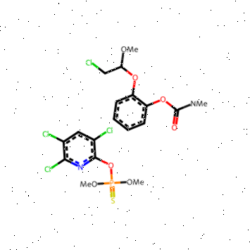 CNC(=O)Oc1ccccc1OC(CCl)OC.COP(=S)(OC)Oc1nc(Cl)c(Cl)cc1Cl